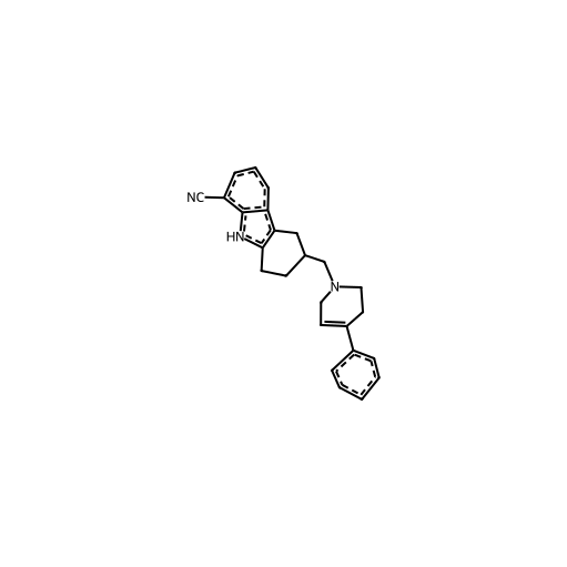 N#Cc1cccc2c3c([nH]c12)CCC(CN1CC=C(c2ccccc2)CC1)C3